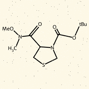 CON(C)C(=O)C1CSCN1C(=O)OC(C)(C)C